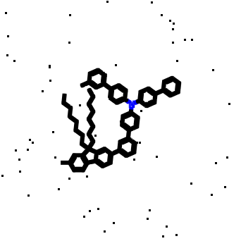 CCCCCCCCC1(CCCCCCCC)c2cc(C)ccc2-c2ccc(-c3cccc(-c4ccc(N(c5ccc(-c6ccccc6)cc5)c5ccc(-c6cccc(C)c6)cc5)cc4)c3)cc21